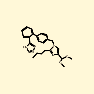 CCCCc1nc(C(OC)OC)cn1Cc1ccc(-c2ccccc2-c2nnn[nH]2)cc1